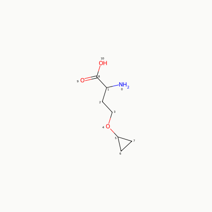 NC(CCOC1CC1)C(=O)O